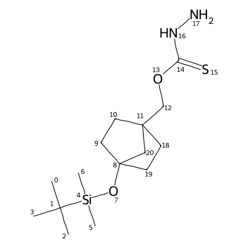 CC(C)(C)[Si](C)(C)OC12CCC(COC(=S)NN)(CC1)C2